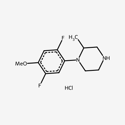 COc1cc(F)c(N2CCNCC2C)cc1F.Cl